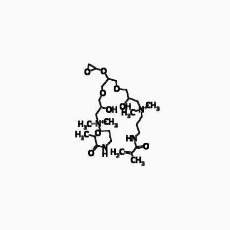 C=C(C)C(=O)NCCC[N+](C)(C)CC(O)COCC(COCC(O)C[N+](C)(C)CCCNC(=O)C(C)=O)OC1CO1